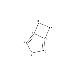 [C]1=C2CCC2=CC1